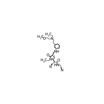 CCN(CCOC)CCc1cccc(NC=c2sc(=C(C#N)C(=O)NCC#N)n(CC)c2=O)c1